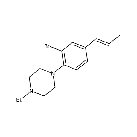 [CH2]CN1CCN(c2ccc(/C=C/C)cc2Br)CC1